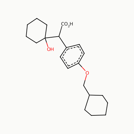 O=C(O)C(c1ccc(OCC2CCCCC2)cc1)C1(O)CCCCC1